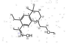 CCc1cc2c(cc1/C(C)=N\O)N(CCOC)CCC2(C)C